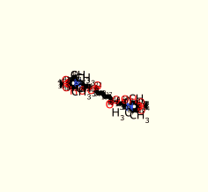 CC1(C)CC2(CC(C)(C)N1CC(O)COC(=O)CCCCC(=O)OCC(O)CN1C(C)(C)CC3(CC1(C)C)OCCO3)OCCO2